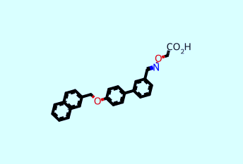 O=C(O)CON=Cc1cccc(-c2ccc(OCc3ccc4ccccc4c3)cc2)c1